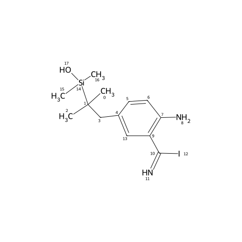 CC(C)(Cc1ccc(N)c(C(=N)I)c1)[Si](C)(C)O